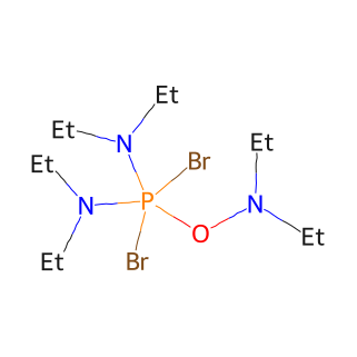 CCN(CC)OP(Br)(Br)(N(CC)CC)N(CC)CC